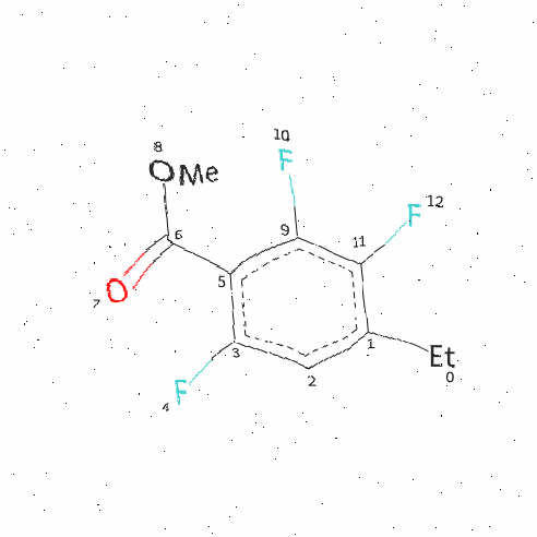 CCc1cc(F)c(C(=O)OC)c(F)c1F